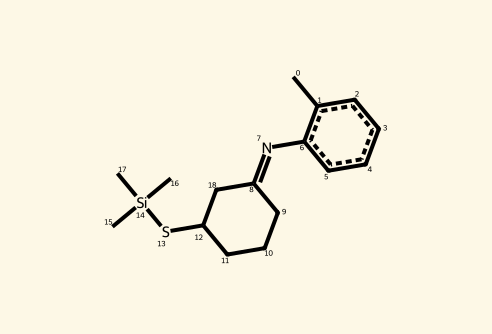 Cc1ccccc1/N=C1\CCCC(S[Si](C)(C)C)C1